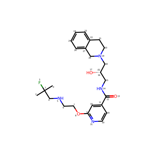 CC(C)(F)CNCCOc1cc(C(=O)NC[C@H](O)CN2CCc3ccccc3C2)ccn1